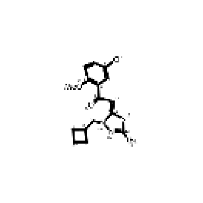 COc1ccc(Cl)cc1C(=O)C=C1SC(C(C)(C)C)=NN1CC1CCC1